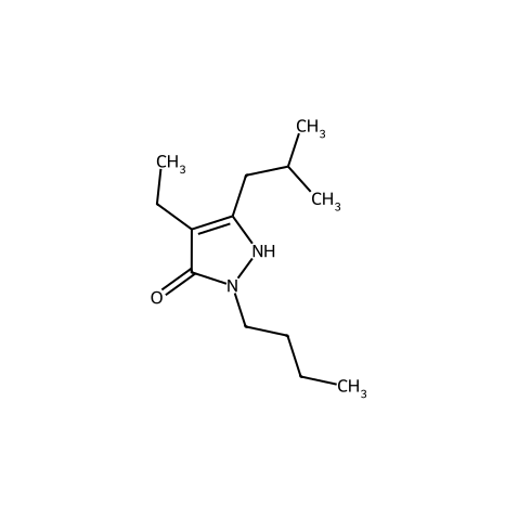 CCCCn1[nH]c(CC(C)C)c(CC)c1=O